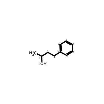 C[C](O)CCc1ccccc1